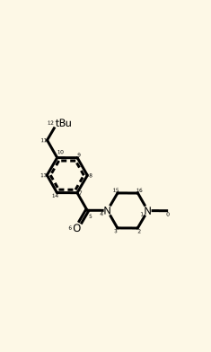 CN1CCN(C(=O)c2ccc(CC(C)(C)C)cc2)CC1